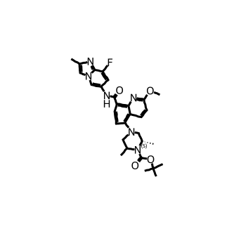 COc1ccc2c(N3CC(C)N(C(=O)OC(C)(C)C)[C@@H](C)C3)ccc(C(=O)Nc3cc(F)c4nc(C)cn4c3)c2n1